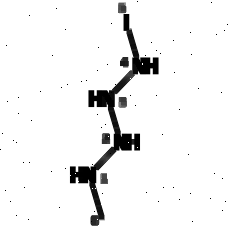 CNNNNI